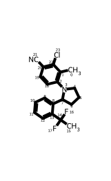 Cc1c(N2CCCC2c2ccccc2C(C)(F)F)ccc(C#N)c1Cl